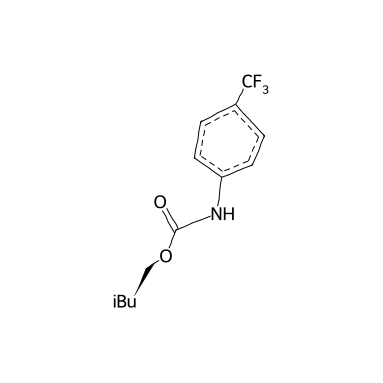 CC[C@H](C)COC(=O)Nc1ccc(C(F)(F)F)cc1